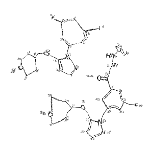 Fc1cc(I)cc(-n2nccc2OC2CCOCC2)c1.O=C(O)NNC(=O)c1cc(F)cc(-n2nccc2OC2CCOCC2)c1